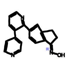 O/N=C1\CCc2cc(-c3ncccc3-c3ccncc3)ccc21